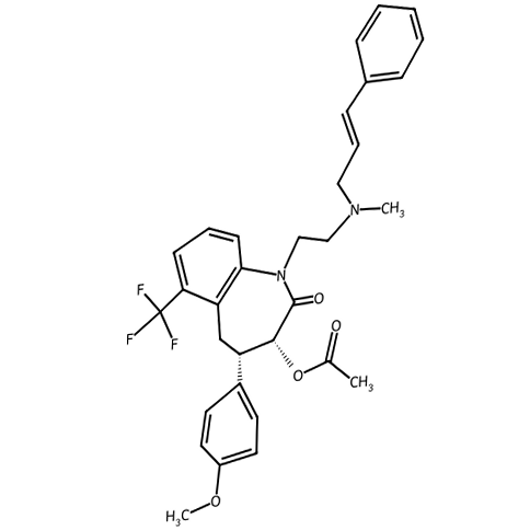 COc1ccc([C@@H]2Cc3c(cccc3C(F)(F)F)N(CCN(C)CC=Cc3ccccc3)C(=O)[C@@H]2OC(C)=O)cc1